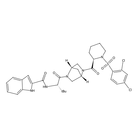 CC(C)(C)[C@H](NC(=O)c1cc2ccccc2[nH]1)C(=O)N1C[C@@H]2C[C@H]1CN2C(=O)[C@H]1CCCCN1S(=O)(=O)c1ccc(Cl)cc1Cl